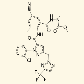 COC(=O)N(C)NC(=O)c1cc(C#N)cc(C)c1NC(=O)c1cc(Cn2ncc(C(F)(F)F)n2)nn1-c1ncccc1Cl